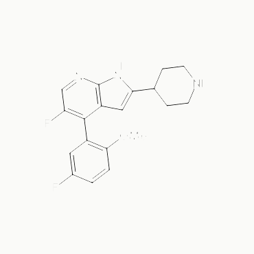 COc1ccc(F)cc1-c1c(F)cnc2[nH]c(C3CCNCC3)cc12